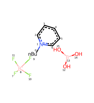 CCCC[n+]1ccccc1.F[B-](F)(F)F.OB(O)O